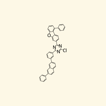 Clc1nc(-c2cccc(-c3ccc4ccc(-c5ccccc5)cc4c3)c2)nc(-c2ccc3c(c2)oc2cccc(-c4ccccc4)c23)n1